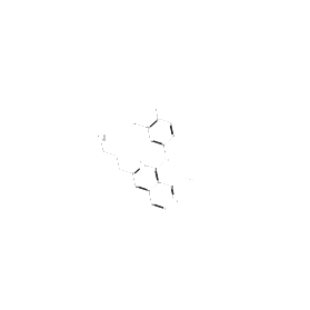 COc1nccc2cc(CCCN)nc(Nc3ccc(C)c(CF)c3)c12